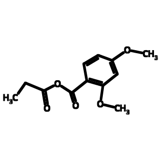 CCC(=O)OC(=O)c1ccc(OC)cc1OC